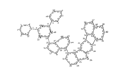 c1ccc(-c2nc(-c3ccccc3)nc(-c3cccc4c(-c5cccc6sc7cc8c(cc7c56)-c5cccc6cccc-8c56)cccc34)n2)cc1